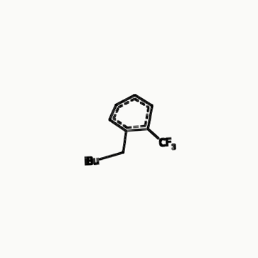 CCC(C)Cc1ccccc1C(F)(F)F